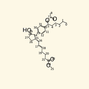 CCCCCC(OC(C)=O)c1ccc([C@@H]2[C@@H](CC=CCCCC(=O)OC)CC[C@H]2O)cc1